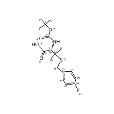 CC(C)(C)OC(=O)N[C@H](C(=O)O)C(C)(C)SCc1ccc(F)cc1